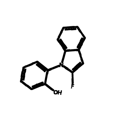 Oc1ccccc1-n1c(F)cc2ccccc21